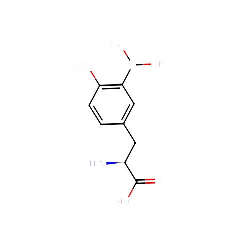 N[C@@H](Cc1ccc(O)c(B(O)O)c1)C(=O)O